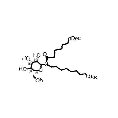 CCCCCCCCCCCCCCCCCCN(C(=O)CCCCCCCCCCCCCCC)C1O[C@H](CO)[C@@H](O)[C@H](O)[C@H]1O